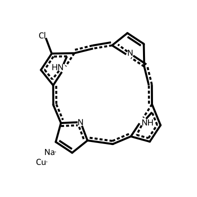 Clc1cc2cc3nc(cc4ccc(cc5nc(cc1[nH]2)C=C5)[nH]4)C=C3.[Cu].[Na]